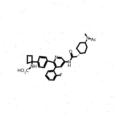 CC(=O)N(C)[C@H]1CC[C@H](CC(=O)Nc2cnc(-c3ccc(C4(NC(=O)O)CCC4)cc3)c(-c3ccccc3F)c2)CC1